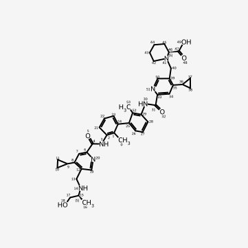 Cc1c(NC(=O)c2cc(C3CC3)c(CN[C@@H](C)CO)cn2)cccc1-c1cccc(NC(=O)c2cc(C3CC3)c(CN3CCCC[C@H]3C(=O)O)cn2)c1C